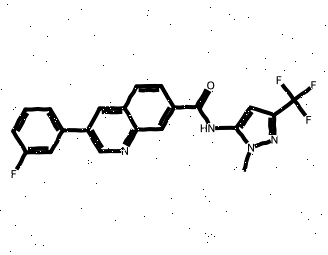 Cn1nc(C(F)(F)F)cc1NC(=O)c1ccc2cc(-c3cccc(F)c3)cnc2c1